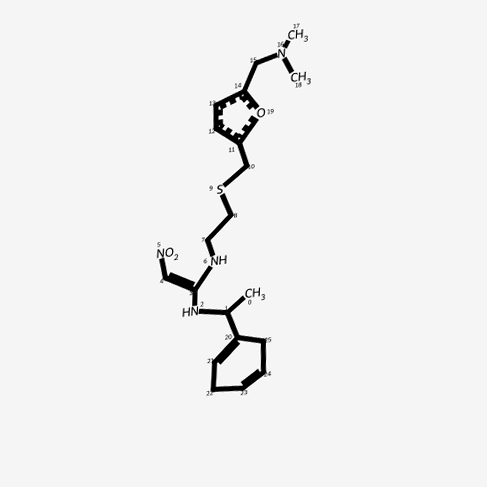 CC(NC(=C[N+](=O)[O-])NCCSCc1ccc(CN(C)C)o1)C1=CCC=CC1